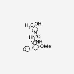 COc1ccc(C2CCOCC2)c2nc(NC(=O)N3CCC(C)(O)CC3)[nH]c12